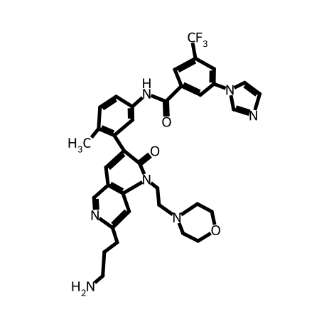 Cc1ccc(NC(=O)c2cc(-n3ccnc3)cc(C(F)(F)F)c2)cc1-c1cc2cnc(CCCN)cc2n(CCN2CCOCC2)c1=O